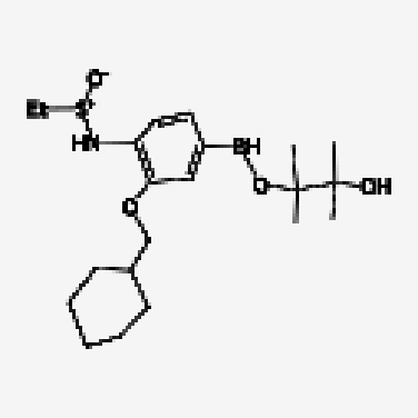 CC[S+]([O-])Nc1ccc(BOC(C)(C)C(C)(C)O)cc1OCC1CCCCC1